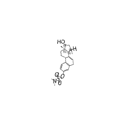 CN(C)S(=O)(=O)Oc1ccc2c(c1)CC=C1C2CC[C@]2(C)[C@@H](O)C[C@@H]3C[C@@]132